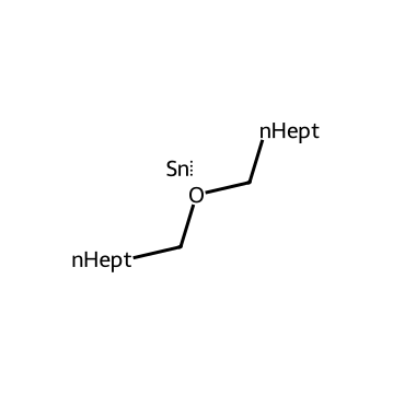 CCCCCCCCOCCCCCCCC.[Sn]